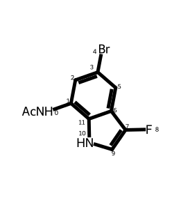 CC(=O)Nc1cc(Br)cc2c(F)c[nH]c12